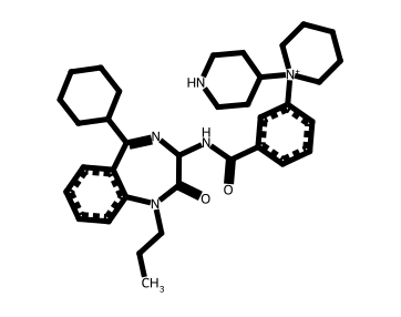 CCCN1C(=O)C(NC(=O)c2cccc([N+]3(C4CCNCC4)CCCCC3)c2)N=C(C2CCCCC2)c2ccccc21